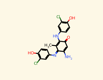 CC1=C(Nc2ccc(O)c(Cl)c2)C(=O)C=C(N)/C1=N/c1ccc(O)c(Cl)c1